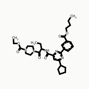 CCCCOC(=O)c1cccc(-c2nc(C(=O)NC(CC)C(=O)N3CCN(C(=O)OCC)CC3)cc(C3CCCC3)n2)c1